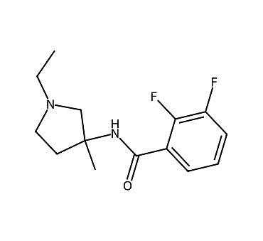 CCN1CCC(C)(NC(=O)c2cccc(F)c2F)C1